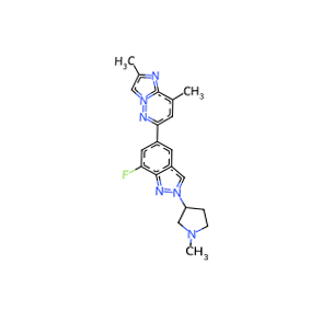 Cc1cn2nc(-c3cc(F)c4nn(C5CCN(C)C5)cc4c3)cc(C)c2n1